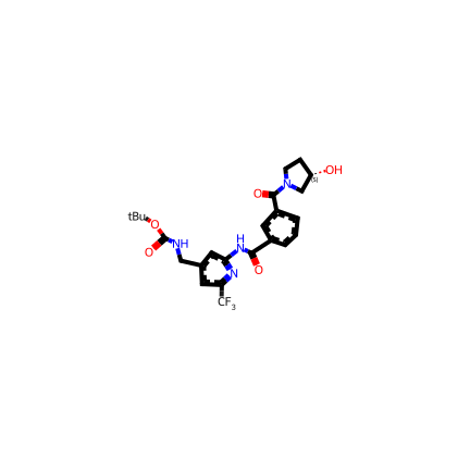 CC(C)(C)OC(=O)NCc1cc(NC(=O)c2cccc(C(=O)N3CC[C@H](O)C3)c2)nc(C(F)(F)F)c1